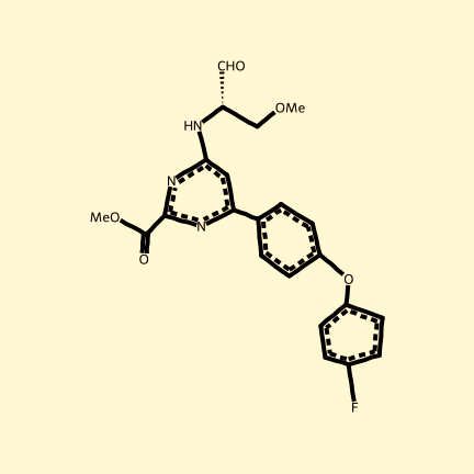 COC[C@@H](C=O)Nc1cc(-c2ccc(Oc3ccc(F)cc3)cc2)nc(C(=O)OC)n1